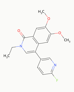 CCn1cc(-c2ccc(F)nc2)c2cc(OC)c(OC)cc2c1=O